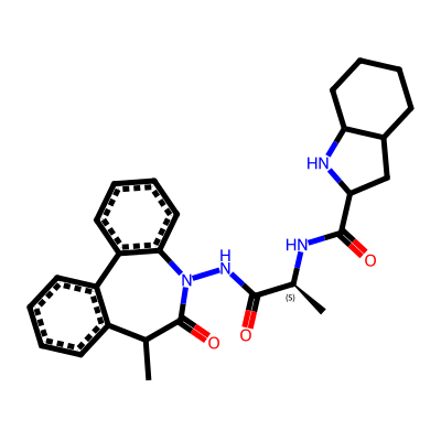 CC1C(=O)N(NC(=O)[C@H](C)NC(=O)C2CC3CCCCC3N2)c2ccccc2-c2ccccc21